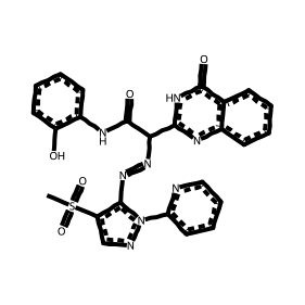 CS(=O)(=O)c1cnn(-c2ccccn2)c1N=NC(C(=O)Nc1ccccc1O)c1nc2ccccc2c(=O)[nH]1